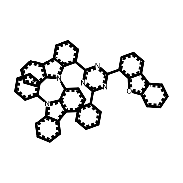 c1ccc(-c2nc(-c3cccc4c3oc3ccccc34)nc(-c3cccc4c5ccccc5n(-c5cccc6c7ccccc7n(-c7ccccc7)c56)c34)n2)cc1